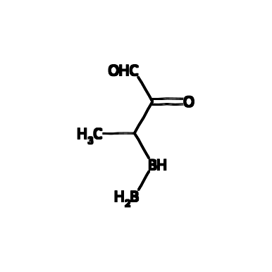 BBC(C)C(=O)C=O